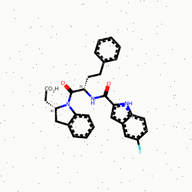 O=C(O)C[C@H]1Cc2ccccc2N1C(=O)[C@H](CCc1ccccc1)NC(=O)c1cc2cc(F)ccc2[nH]1